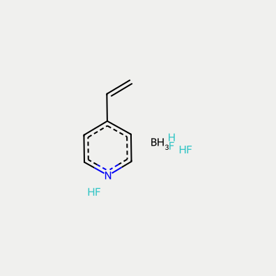 B.C=Cc1ccncc1.F.F.F